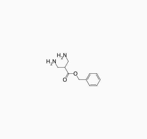 NCC(CN)C(=O)OCc1ccccc1